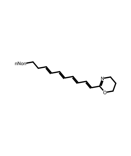 CCCCCCCCCCCC=CC=CC=CC=CC1=NCCCO1